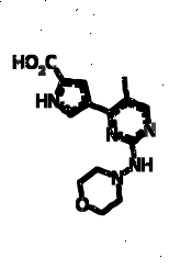 Cc1cnc(NN2CCOCC2)nc1-c1c[nH]c(C(=O)O)c1